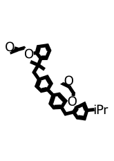 CC(C)c1ccc(Cc2ccc(-c3ccc(CC(C)(C)c4ccccc4OCC4CO4)cc3)cc2)c(OCC2CO2)c1